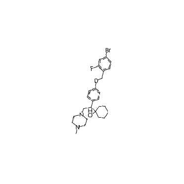 CN1CCN(CC(c2ccc(OCc3ccc(Br)cc3F)cc2)C2(O)CCCCC2)CC1